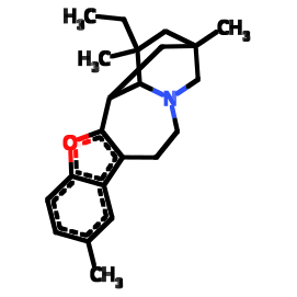 CCC1(C)CC2(C)CC3c4oc5ccc(C)cc5c4CCN(C2)C31